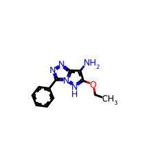 CCOc1[nH]n2c(-c3ccccc3)nnc2c1N